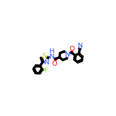 N#Cc1ccccc1C(=O)N1CCC(C(=O)Nc2nc(-c3ccccc3F)cs2)CC1